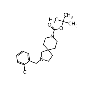 CC(C)(C)OC(=O)N1CCC2(CCN(Cc3ccccc3Cl)C2)CC1